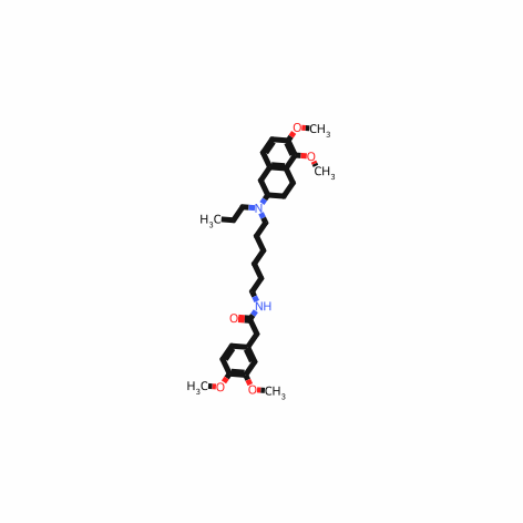 CCCN(CCCCCCNC(=O)Cc1ccc(OC)c(OC)c1)C1CCc2c(ccc(OC)c2OC)C1